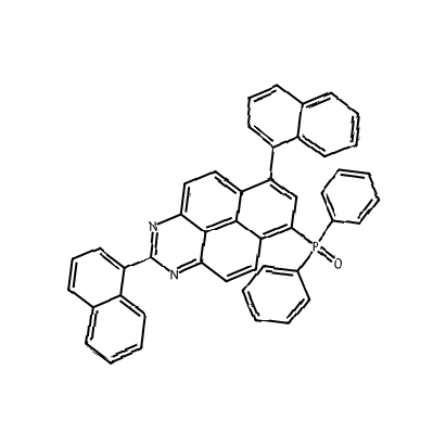 O=P(c1ccccc1)(c1ccccc1)c1cc(-c2cccc3ccccc23)c2ccc3nc(-c4cccc5ccccc45)nc4ccc1c2c34